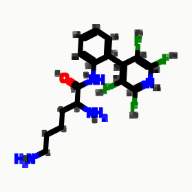 NCCCCC(N)C(=O)Nc1ccccc1-c1c(F)c(F)nc(F)c1F